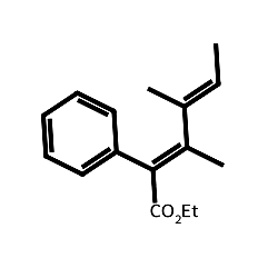 C/C=C(C)/C(C)=C(/C(=O)OCC)c1ccccc1